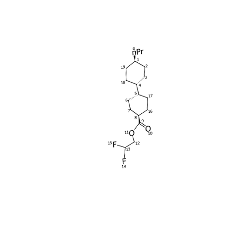 CCC[C@H]1CC[C@H]([C@H]2CC[C@H](C(=O)OCC(F)F)CC2)CC1